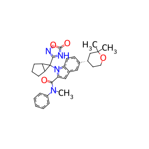 CN(C(=O)c1cc2cc([C@H]3CCOC(C)(C)C3)ccc2n1C1(c2noc(=O)[nH]2)C2CCCC21)c1ccccc1